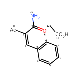 CC(=O)C(=Cc1ccccc1)C(N)=O.CC(=O)O